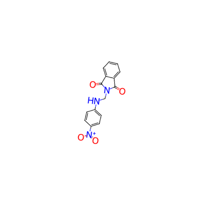 O=C1c2ccccc2C(=O)N1CNc1ccc([N+](=O)[O-])cc1